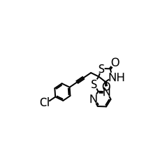 O=C1NC(=O)C(CC#Cc2ccc(Cl)cc2)(Sc2ncccn2)S1